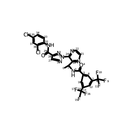 CC(NC(=O)c1cc(C(F)(F)F)cc(C(F)(F)F)c1)c1nccnc1-n1ncc(C(=O)Nc2ccc(Cl)cc2Cl)n1